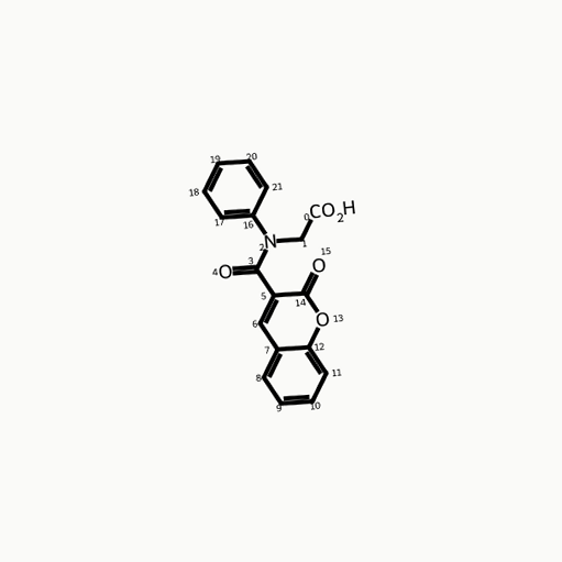 O=C(O)CN(C(=O)c1cc2ccccc2oc1=O)c1ccccc1